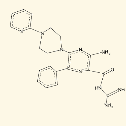 N=C(N)NC(=O)c1nc(-c2ccccc2)c(N2CCN(c3ccccn3)CC2)nc1N